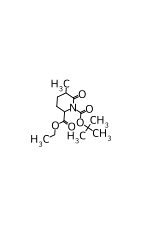 CCOC(=O)C1CCC(C)C(=O)N1C(=O)OC(C)(C)C